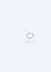 O=C(O)Nc1cc(Cl)ccc1[N+](=O)[O-]